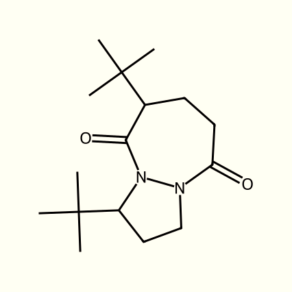 CC(C)(C)C1CCC(=O)N2CCC(C(C)(C)C)N2C1=O